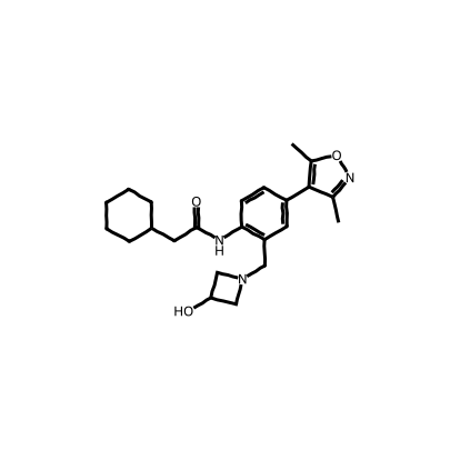 Cc1noc(C)c1-c1ccc(NC(=O)CC2CCCCC2)c(CN2CC(O)C2)c1